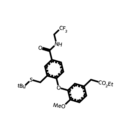 CCOC(=O)Cc1ccc(OC)c(Oc2ccc(C(=O)NCC(F)(F)F)cc2CSC(C)(C)C)c1